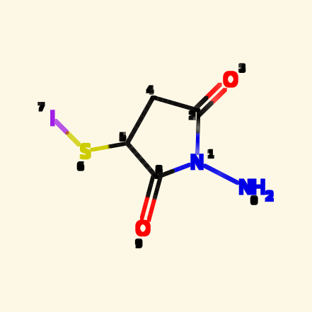 NN1C(=O)CC(SI)C1=O